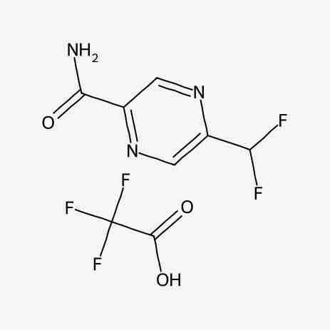 NC(=O)c1cnc(C(F)F)cn1.O=C(O)C(F)(F)F